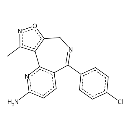 Cc1noc2c1-c1nc(N)ccc1C(c1ccc(Cl)cc1)=NC2